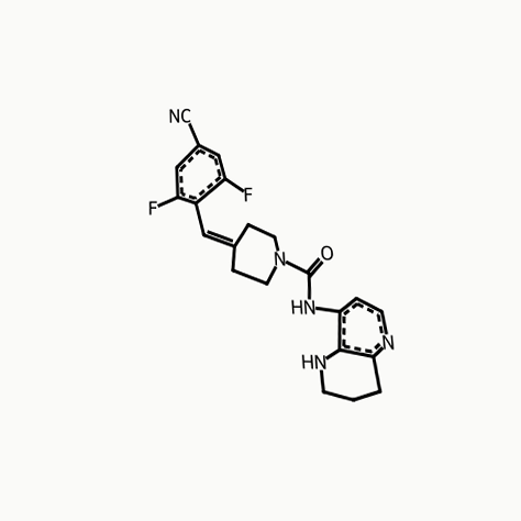 N#Cc1cc(F)c(C=C2CCN(C(=O)Nc3ccnc4c3NCCC4)CC2)c(F)c1